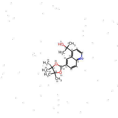 CC(C)(O)c1ccnc2ccc(B3OC(C)(C)C(C)(C)O3)cc12